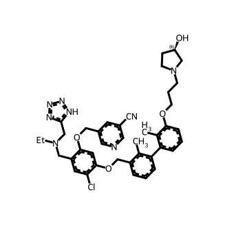 CCN(Cc1nnn[nH]1)Cc1cc(Cl)c(OCc2cccc(-c3cccc(OCCCN4CC[C@@H](O)C4)c3C)c2C)cc1OCc1cncc(C#N)c1